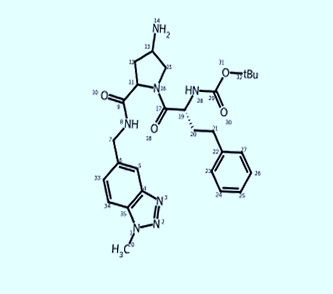 Cn1nnc2cc(CNC(=O)C3CC(N)CN3C(=O)[C@@H](CCc3ccccc3)NC(=O)OC(C)(C)C)ccc21